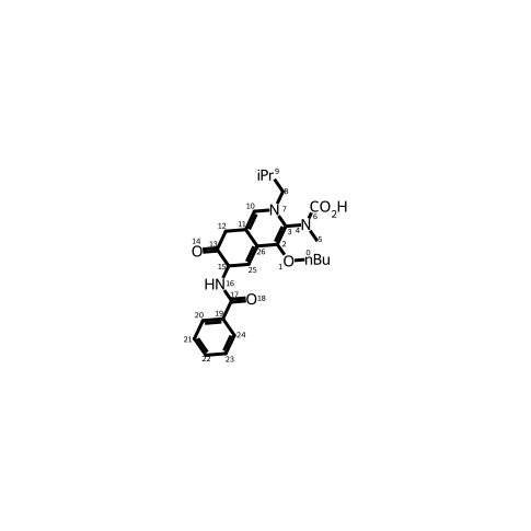 CCCCOC1=C(N(C)C(=O)O)N(CC(C)C)C=C2CC(=O)C(NC(=O)c3ccccc3)C=C21